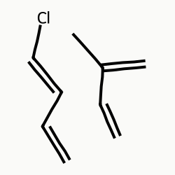 C=CC(=C)C.C=CC=CCl